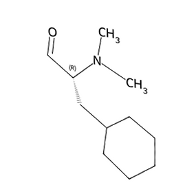 CN(C)[C@@H](C=O)CC1CCCCC1